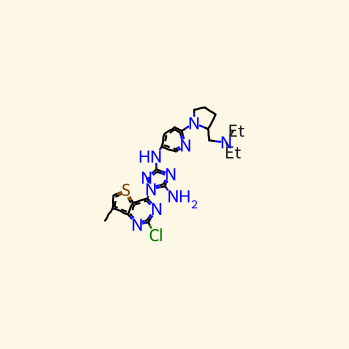 CCN(CC)CC1CCCN1c1ccc(Nc2nc(N)n(-c3nc(Cl)nc4c(C)csc34)n2)cn1